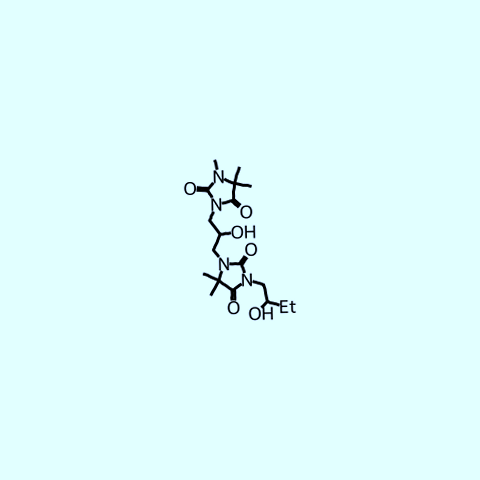 CCC(O)CN1C(=O)N(CC(O)CN2C(=O)N(C)C(C)(C)C2=O)C(C)(C)C1=O